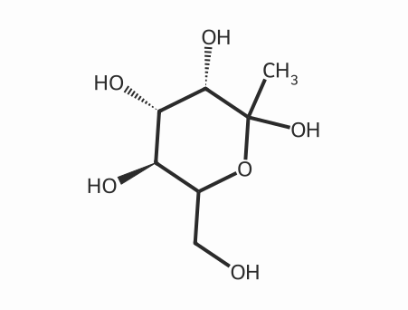 CC1(O)OC(CO)[C@@H](O)[C@H](O)[C@@H]1O